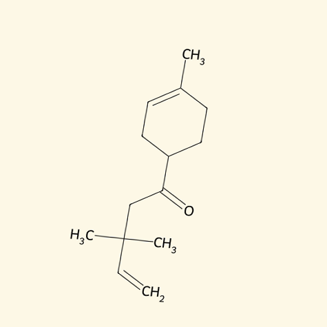 C=CC(C)(C)CC(=O)C1CC=C(C)CC1